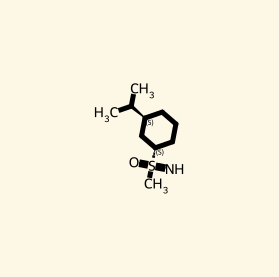 CC(C)[C@H]1CCC[C@H](S(C)(=N)=O)C1